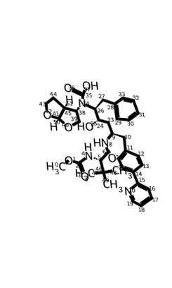 COC(=O)N[C@H](C(=O)N[C@H](Cc1ccc(-c2ccccn2)cc1)C[C@H](O)[C@H](Cc1ccccc1)N(C(=O)O)[C@H]1CO[C@H]2OCC[C@H]21)C(C)(C)C